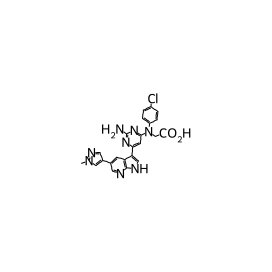 Cn1cc(-c2cnc3[nH]cc(-c4cc(N(CC(=O)O)c5ccc(Cl)cc5)nc(N)n4)c3c2)cn1